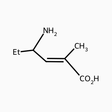 CCC(N)C=C(C)C(=O)O